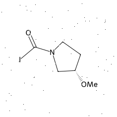 CO[C@H]1CCN(C(=O)I)C1